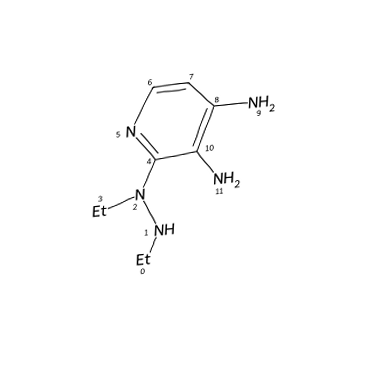 CCNN(CC)c1nccc(N)c1N